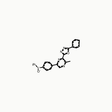 Cc1ncc(-c2ccc([S+]([O-])C(C)C)cc2)nc1-c1nnc(-c2ccccc2)o1